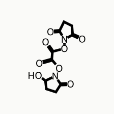 O=C(ON1C(=O)CCC1=O)C(=O)ON1C(=O)CCC1O